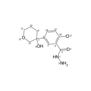 NNC(=O)c1cc(C2(O)CCCOC2)ccc1Cl